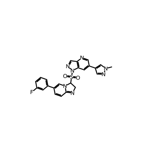 Cn1cc(-c2cnc3cnn(S(=O)(=O)C4CN=C5C=CC(c6cccc(F)c6)=CN54)c3c2)cn1